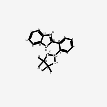 CC1(C)OB(c2ccccc2-c2nc3ccccc3o2)OC1(C)C